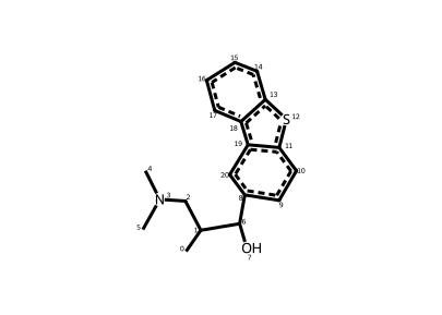 CC(CN(C)C)C(O)c1ccc2sc3ccccc3c2c1